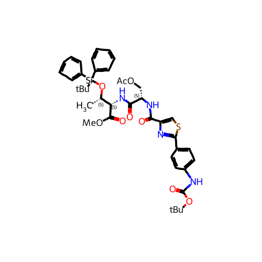 COC(=O)[C@@H](NC(=O)[C@H](COC(C)=O)NC(=O)c1csc(-c2ccc(NC(=O)OC(C)(C)C)cc2)n1)[C@H](C)O[Si](c1ccccc1)(c1ccccc1)C(C)(C)C